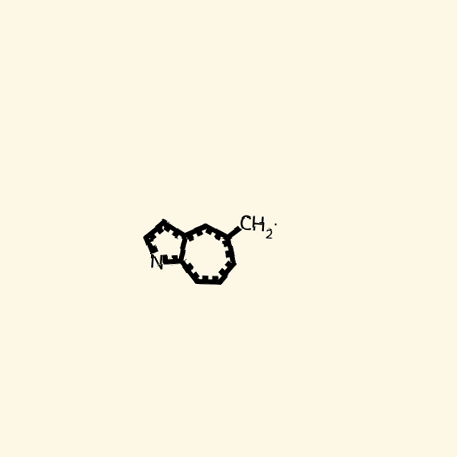 [CH2]c1cccc2nccc-2c1